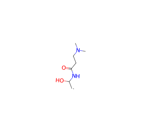 [CH2]C(O)NC(=O)CCN(C)C